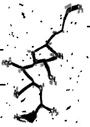 C#CC(C)OC(O)N(C)C1=C(C)NC(CCN=C)S1